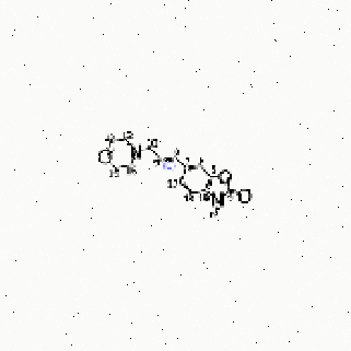 Cn1c(=O)oc2cc(/C=C/CN3CCOCC3)ccc21